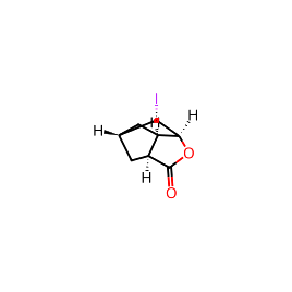 O=C1O[C@@H]2[C@@H](I)[C@H]3C[C@@H]2[C@@H]1C3